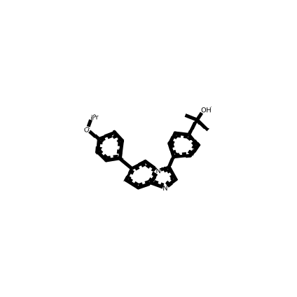 CC(C)Oc1ccc(-c2ccc3ncc(-c4ccc(C(C)(C)O)cc4)n3c2)cc1